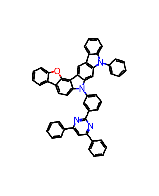 c1ccc(-c2cc(-c3ccccc3)nc(-c3cccc(-n4c5cc6c(cc5c5c7oc8ccccc8c7ccc54)c4ccccc4n6-c4ccccc4)c3)n2)cc1